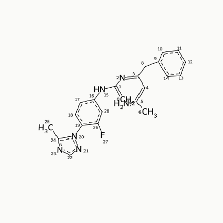 C=C(/N=C(\C=C(\C)N)Cc1ccccc1)Nc1ccc(-n2ncnc2C)c(F)c1